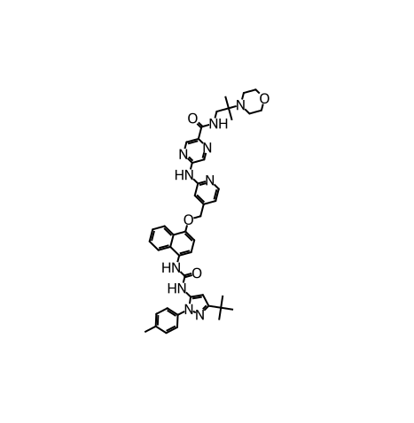 Cc1ccc(-n2nc(C(C)(C)C)cc2NC(=O)Nc2ccc(OCc3ccnc(Nc4cnc(C(=O)NCC(C)(C)N5CCOCC5)cn4)c3)c3ccccc23)cc1